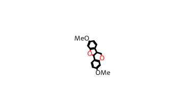 COc1ccc2c(c1)OC1c3ccc(OC)cc3OCC21